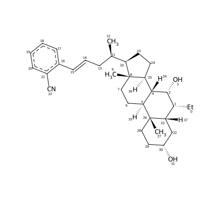 CC[C@H]1[C@@H](O)[C@@H]2[C@H](CC[C@]3(C)[C@@H]([C@H](C)C/C=C/c4ccccc4C#N)CC[C@@H]23)[C@@]2(C)CC[C@@H](O)C[C@@H]12